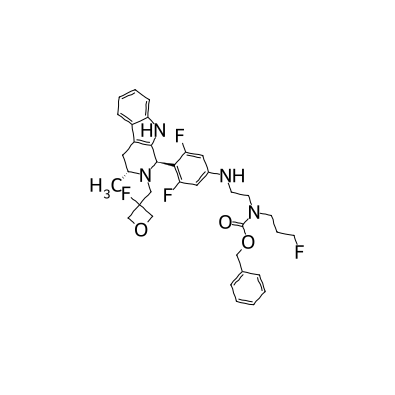 C[C@@H]1Cc2c([nH]c3ccccc23)[C@@H](c2c(F)cc(NCCN(CCCF)C(=O)OCc3ccccc3)cc2F)N1CC1(F)COC1